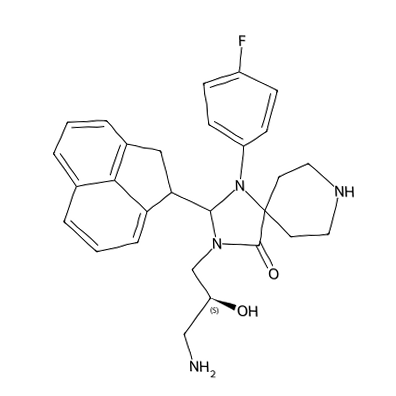 NC[C@H](O)CN1C(=O)C2(CCNCC2)N(c2ccc(F)cc2)C1C1Cc2cccc3cccc1c23